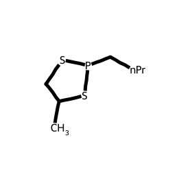 CCCCP1SCC(C)S1